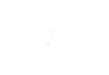 CC(O)(c1cccc(Br)c1)c1nccn1Cc1ccccc1